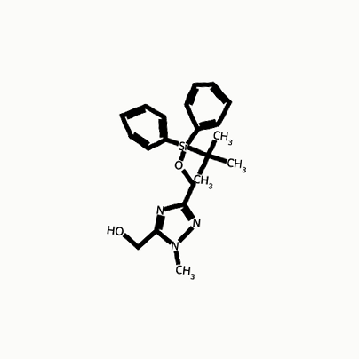 Cn1nc(CO[Si](c2ccccc2)(c2ccccc2)C(C)(C)C)nc1CO